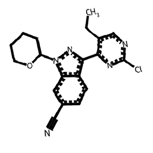 CCc1cnc(Cl)nc1-c1nn(C2CCCCO2)c2cc(C#N)ccc12